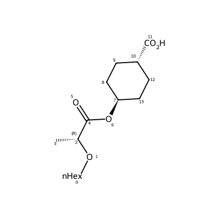 CCCCCCO[C@H](C)C(=O)O[C@H]1CC[C@H](C(=O)O)CC1